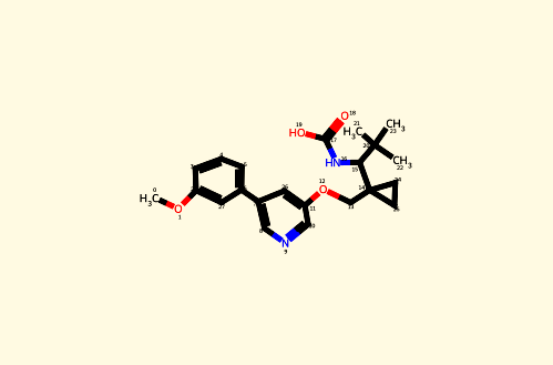 COc1cccc(-c2cncc(OCC3(C(NC(=O)O)C(C)(C)C)CC3)c2)c1